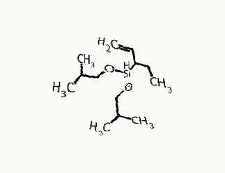 C=CC(CC)[SiH](OCC(C)C)OCC(C)C